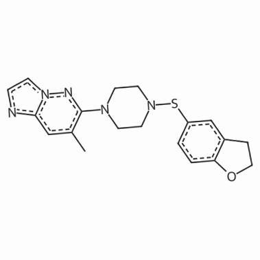 Cc1cc2nccn2nc1N1CCN(Sc2ccc3c(c2)CCO3)CC1